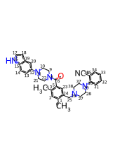 Cc1cc(C)c(C(=O)N2CCN(c3ccc4[nH]ccc4c3)CC2)cc1CN1CCN(c2ccccc2C#N)CC1